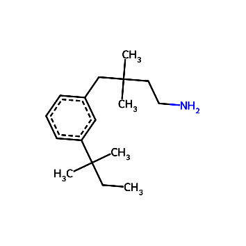 CCC(C)(C)c1cccc(CC(C)(C)CCN)c1